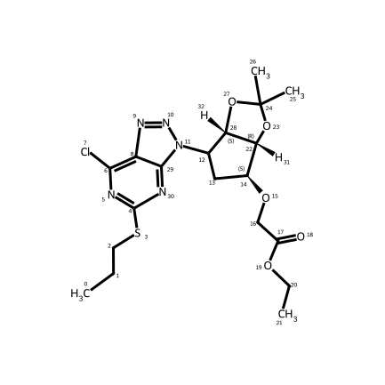 CCCSc1nc(Cl)c2nnn(C3C[C@H](OCC(=O)OCC)[C@H]4OC(C)(C)O[C@@H]34)c2n1